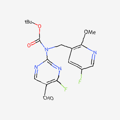 COc1ncc(F)cc1CN(C(=O)OC(C)(C)C)c1ncc(C=O)c(F)n1